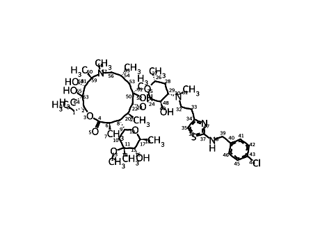 CC[C@H]1OC(=O)[C@H](C)[C@@H](C2C[C@@](C)(OC)[C@@H](O)[C@H](C)O2)[C@H](C)[C@@H](O[C@@H]2O[C@H](C)C[C@H](N(C)CCc3csc(NCc4ccc(Cl)cc4)n3)[C@H]2O)[C@](C)(O)C[C@@H](C)CN(C)[C@H](C)[C@@H](O)[C@]1(C)O